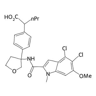 CCCC(C(=O)O)c1ccc(C2(NC(=O)c3cc4c(Cl)c(Cl)c(OC)cc4n3C)CCOC2)cc1